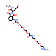 CNCCOCCOCCNC(=O)COCCOCCOCC(=O)Nc1cccc2c1C(=O)N(C(CCC=O)C(=O)NC)C2=O